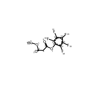 CC(C)(C)OC(=O)CC(=O)Oc1c(F)c(F)c(F)c(F)c1F